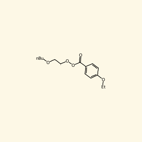 CCCCOC[CH]OOC(=O)c1ccc(OCC)cc1